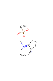 CO/C=C1/CCCC1=[N+](C)C.COS(=O)(=O)[O-]